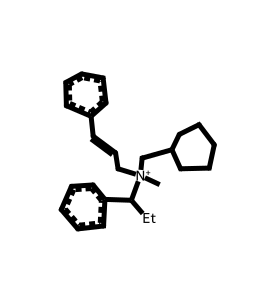 CCC(c1ccccc1)[N+](C)(CC=Cc1ccccc1)CC1CCCCC1